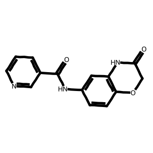 O=C1COc2ccc(NC(=O)c3cccnc3)cc2N1